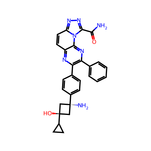 NC(=O)c1nnc2ccc3nc(-c4ccc([C@]5(N)C[C@@](O)(C6CC6)C5)cc4)c(-c4ccccc4)nc3n12